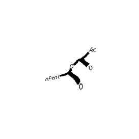 CCCCCC(=O)OC(=O)C(C)=O